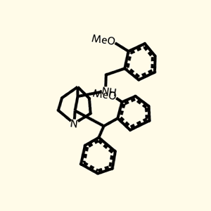 COc1ccccc1CNC1C2CCN(CC2)C1C(c1ccccc1)c1ccccc1OC